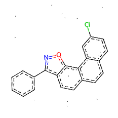 Clc1ccc2ccc3ccc4c(-c5ccccc5)noc4c3c2c1